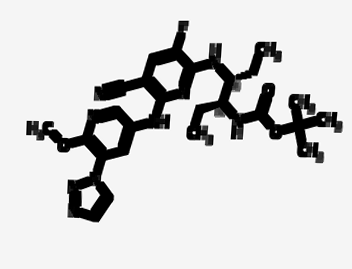 CC[C@H](NC(=O)OC(C)(C)C)[C@@H](CC)Nc1nc(Nc2cnc(OC)c(-n3ccnn3)c2)c(C#N)cc1F